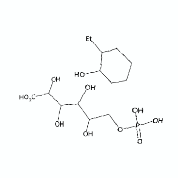 CCC1CCCCC1O.O=C(O)C(O)C(O)C(O)C(O)COP(=O)(O)O